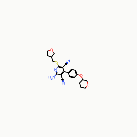 N#Cc1c(N)nc(SCC2CCOC2)c(C#N)c1-c1ccc(OC2CCCOC2)cc1